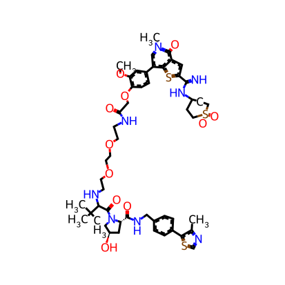 COc1cc(-c2cn(C)c(=O)c3cc(C(=N)NC4CCS(=O)(=O)CC4)sc23)ccc1OCC(=O)NCCOCCOCCNC(C(=O)N1C[C@H](O)C[C@H]1C(=O)NCc1ccc(-c2scnc2C)cc1)C(C)(C)C